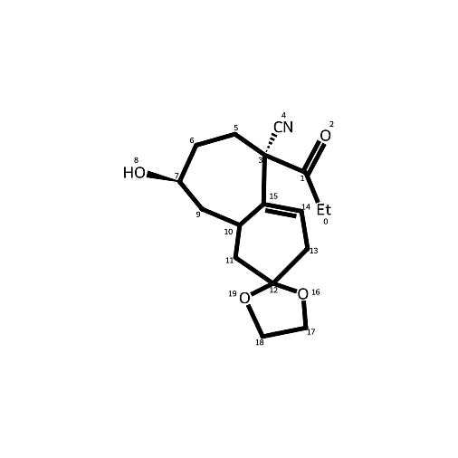 CCC(=O)[C@]1(C#N)CC[C@H](O)CC2CC3(CC=C21)OCCO3